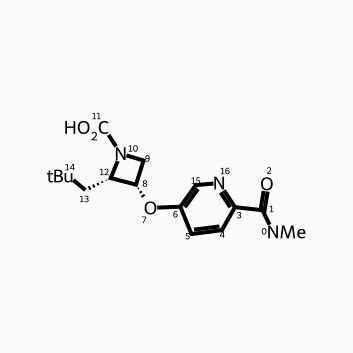 CNC(=O)c1ccc(O[C@H]2CN(C(=O)O)[C@H]2CC(C)(C)C)cn1